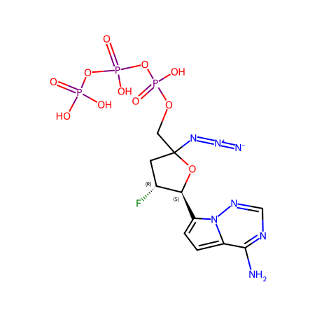 [N-]=[N+]=NC1(COP(=O)(O)OP(=O)(O)OP(=O)(O)O)C[C@@H](F)[C@H](c2ccc3c(N)ncnn23)O1